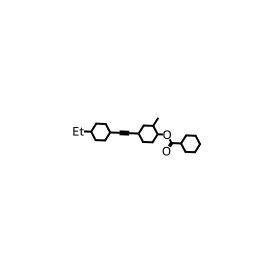 CCC1CCC(C#CC2CCC(OC(=O)C3CCCCC3)C(C)C2)CC1